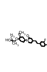 COc1cc(-n2ccc(C=Cc3ccc(F)c(F)c3)cc2=O)ccc1OCC(C)(C)O